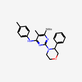 CNc1nc(N2CCOCC2c2ccccc2)nc(Nc2ccc(C)cc2)c1C